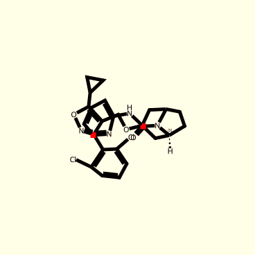 O=C(Nc1ccccn1)N1C2CC[C@H]1CC(OCc1c(-c3c(Cl)cccc3Cl)noc1C1CC1)C2